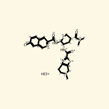 CN1CCc2nc(C(=O)N[C@H]3C[C@@H](C(=O)N(C)C)CC[C@@H]3NC(=O)c3cc4ccc(Cl)cc4cn3)sc2C1.Cl